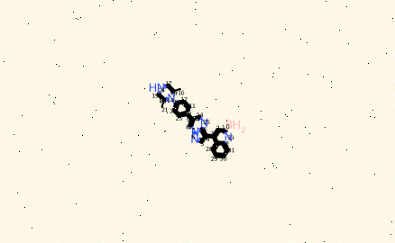 Bc1cc(-c2cnn3cc(-c4ccc(N5[C@H](C)CNC[C@@H]5C)cc4)cnc23)c2ccccc2n1